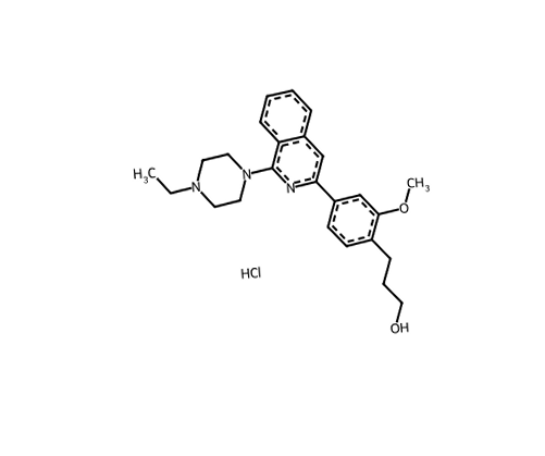 CCN1CCN(c2nc(-c3ccc(CCCO)c(OC)c3)cc3ccccc23)CC1.Cl